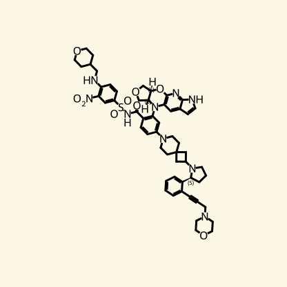 O=C(NS(=O)(=O)c1ccc(NCC2CCOCC2)c([N+](=O)[O-])c1)c1ccc(N2CCC3(CC2)CC(N2CCC[C@H]2c2ccccc2C#CCN2CCOCC2)C3)cc1N1c2cc3cc[nH]c3nc2O[C@@H]2COC[C@H]21